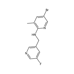 Cc1cc(Br)cnc1NCc1cncc(F)c1